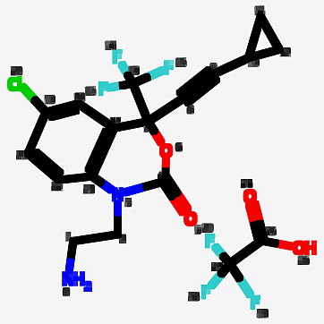 NCCN1C(=O)OC(C#CC2CC2)(C(F)(F)F)c2cc(Cl)ccc21.O=C(O)C(F)(F)F